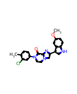 COc1ccc2[nH]cc(-c3cn4ccn(-c5ccc(C)c(Cl)c5)c(=O)c4n3)c2c1